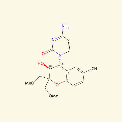 COCC1(COC)Oc2ccc(C#N)cc2[C@@H](n2ccc(N)nc2=O)[C@@H]1O